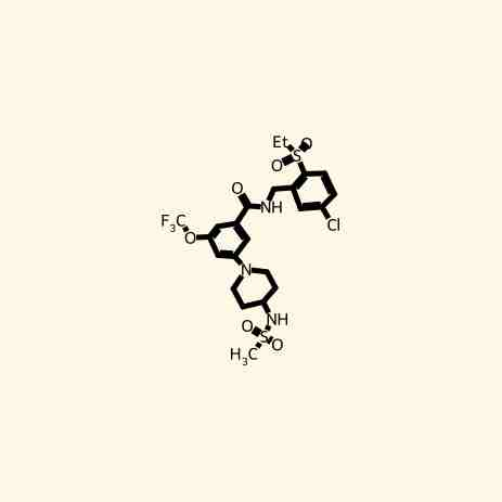 CCS(=O)(=O)c1ccc(Cl)cc1CNC(=O)c1cc(OC(F)(F)F)cc(N2CCC(NS(C)(=O)=O)CC2)c1